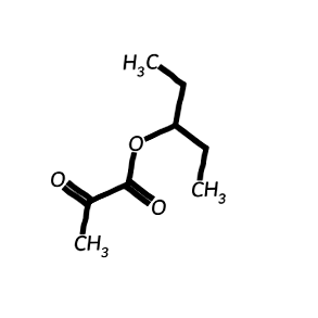 CCC(CC)OC(=O)C(C)=O